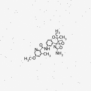 COc1cnc(C(=O)Nc2ccc3c(c2)C24N=C(N)OC25OCC54C(C)(C)O3)c(C)c1